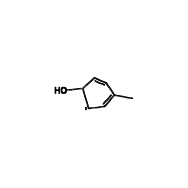 CC1=C[C]C(O)C=C1